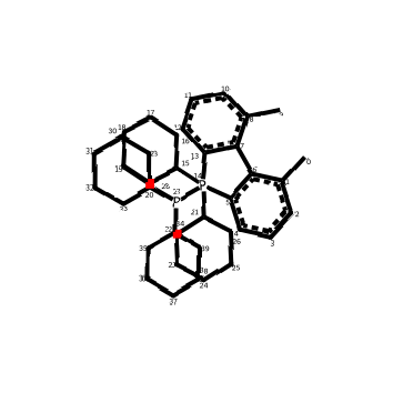 Cc1cccc2c1-c1c(C)cccc1P2(C1CCCCC1)(C1CCCCC1)P(C1CCCCC1)C1CCCCC1